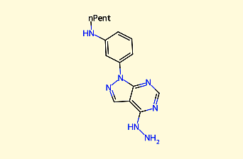 CCCCCNc1cccc(-n2ncc3c(NN)ncnc32)c1